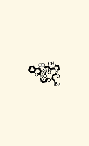 CC[C@H](C)C[C@@H](CC(=O)N1CCC[C@H]1[C@H](OC)[C@@H](C)C(=O)N[C@H](C(=O)N1CCCCO1)[C@@H](C)c1ccccc1)OC